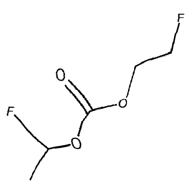 CC(F)OC(=O)OCCF